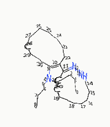 CCCCN(CCCC)C1=C(C2=NNCCCCCCCC2)CCCCCCCCC1